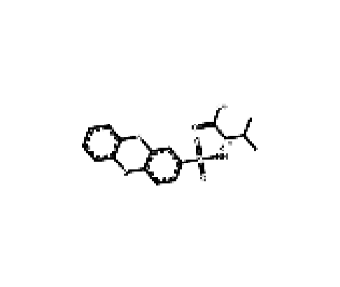 CC(C)[C@H](NS(=O)(=O)c1ccc2c(c1)Sc1ccccc1S2)C(=O)O